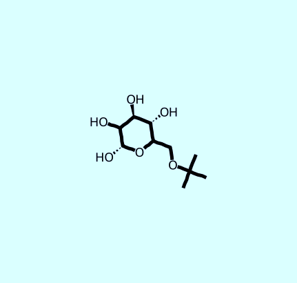 CC(C)(C)OCC1O[C@H](O)C(O)[C@@H](O)[C@@H]1O